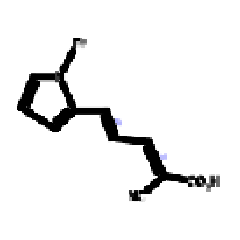 CCn1cccc1/C=C/C=C(\C#N)C(=O)O